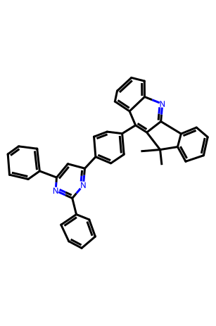 CC1(C)c2ccccc2-c2nc3ccccc3c(-c3ccc(-c4cc(-c5ccccc5)nc(-c5ccccc5)n4)cc3)c21